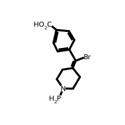 O=C(O)c1ccc(C(Br)=C2CCN(P)CC2)cc1